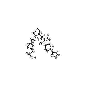 [2H]C([2H])(c1ccccc1OCc1cc(CC(=O)O)no1)N(C(=O)c1ccc(-c2ccco2)cc1)C(C)C